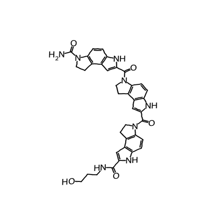 NC(=O)N1CCc2c1ccc1[nH]c(C(=O)N3CCc4c3ccc3[nH]c(C(=O)N5CCc6c5ccc5[nH]c(C(=O)NCCCO)cc65)cc43)cc21